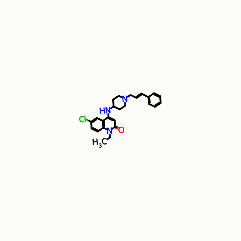 CCn1c(=O)cc(NC2CCN(CC=Cc3ccccc3)CC2)c2cc(Cl)ccc21